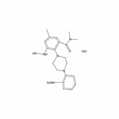 CCCNc1cc(C)cc(C(=O)N(C)C)c1N1CCN(c2ccccc2NC(C)=O)CC1.Cl